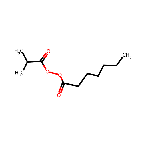 CCCCCCC(=O)OOC(=O)C(C)C